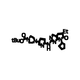 CCc1cc2cnc(Nc3ccc(N4CCN(C(=O)OC(C)(C)C)CC4)cn3)nc2n(C2CCCC2)c1=O